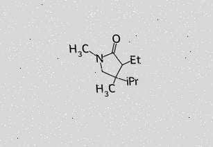 CCC1C(=O)N(C)CC1(C)C(C)C